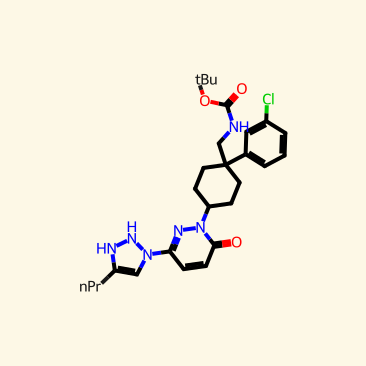 CCCC1=CN(c2ccc(=O)n(C3CCC(CNC(=O)OC(C)(C)C)(c4cccc(Cl)c4)CC3)n2)NN1